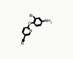 N#Cc1ccc(Oc2ccc(N)cc2Br)nc1